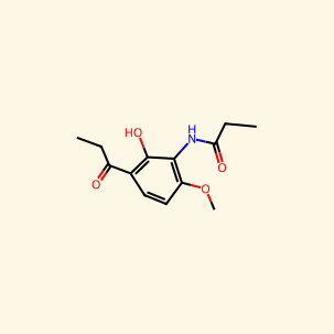 CCC(=O)Nc1c(OC)ccc(C(=O)CC)c1O